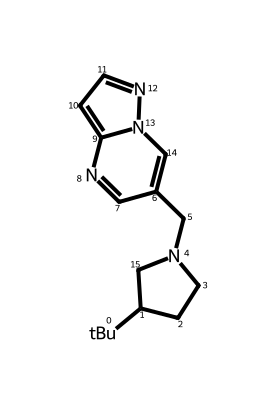 CC(C)(C)C1CCN(Cc2cnc3ccnn3c2)C1